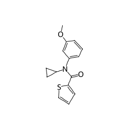 COc1cccc(N(C(=O)c2cccs2)C2CC2)c1